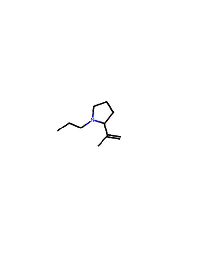 C=C(C)C1CCCN1CCC